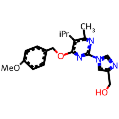 COc1ccc(COc2nc(-n3cnc(CO)c3)nc(C)c2C(C)C)cc1